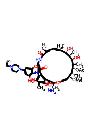 CO[C@H]1/C=C/O[C@@]2(C)Oc3c(C)c(O)c4c(=O)c(c5oc6cc(N7CCN(CC(C)C)CC7)cc(O)c6nc-5c4c3C2=O)NC(=O)/C(C)=C\C=C\[C@H](C)[C@H](O)[C@@H](C)[C@@H](O)[C@@H](C)[C@H](OC(C)=O)[C@@H]1C.N